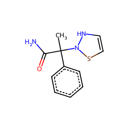 CC(C(N)=O)(c1ccccc1)N1NC=CS1